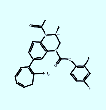 CC(=O)N1c2ccc(C3=C(N)CC=CC=C3)cc2N(C(=O)Oc2ccc(F)cc2F)C[C@@H]1C